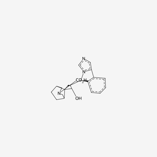 O=C(O)N1CC2CCC(C1)C21C[C@@H]([C@@H]2c3ccccc3-c3cncn32)C1O